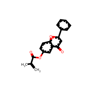 C=C(C)C(=O)Oc1ccc2oc(-c3ccccc3)cc(=O)c2c1